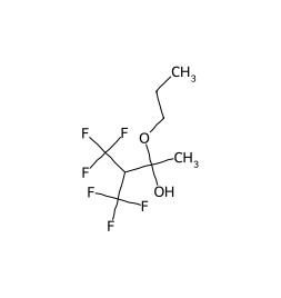 CCCOC(C)(O)C(C(F)(F)F)C(F)(F)F